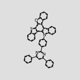 c1ccc(-c2cc(-c3ccccc3)nc(-c3ccc(-n4c5ccccc5c5c6c7ccccc7oc6c6sc7ccccc7c6c54)cc3)n2)cc1